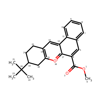 COC(=O)c1cc2ccccc2c2cc3c([o+]c12)CC(C(C)(C)C)CC3